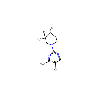 Cc1nc(N2CC[C@@H](C(C)C)C(C)(C)C2)ncc1C#N